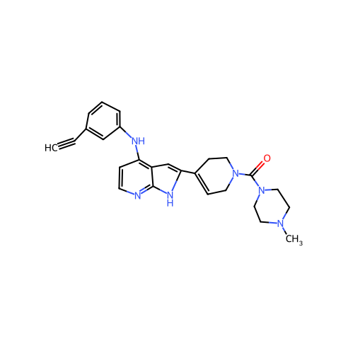 C#Cc1cccc(Nc2ccnc3[nH]c(C4=CCN(C(=O)N5CCN(C)CC5)CC4)cc23)c1